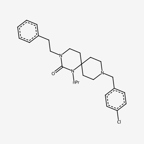 CCCN1C(=O)N(CCc2ccccc2)CCC12CCN(Cc1ccc(Cl)cc1)CC2